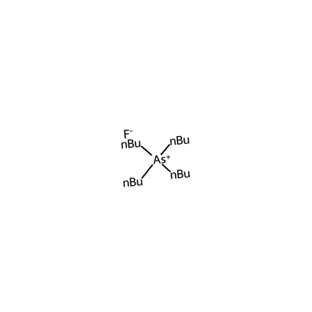 CCCC[As+](CCCC)(CCCC)CCCC.[F-]